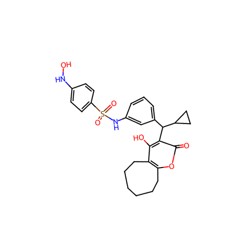 O=c1oc2c(c(O)c1C(c1cccc(NS(=O)(=O)c3ccc(NO)cc3)c1)C1CC1)CCCCCC2